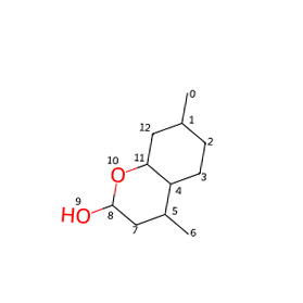 CC1CCC2C(C)CC(O)OC2C1